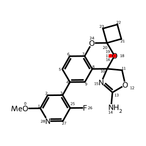 COc1cc(-c2ccc3c(c2)C2(COC(N)=N2)C2(COC2)C2(CCC2)O3)c(F)cn1